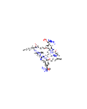 CCn1nc(C)cc1C(=O)Nc1nc2cc(C(N)=O)cc(OCCCNC(=O)C(N)CC(=O)O)c2n1CC=CCn1c2nc(-c3cc(C)nn3CC)ncc2c2cc(C(N)=O)cc(OCCCOC)c21